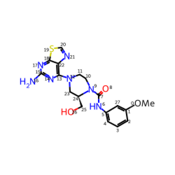 COc1cccc(NC(=O)N2CCN(c3nc(N)nc4scnc34)C[C@@H]2CO)c1